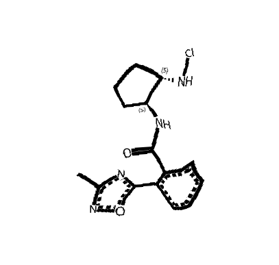 Cc1noc(-c2ccccc2C(=O)N[C@H]2CCC[C@@H]2NCl)n1